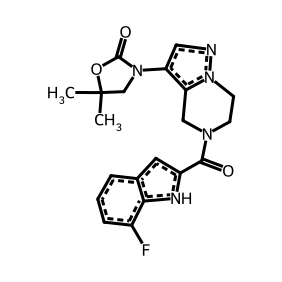 CC1(C)CN(c2cnn3c2CN(C(=O)c2cc4cccc(F)c4[nH]2)CC3)C(=O)O1